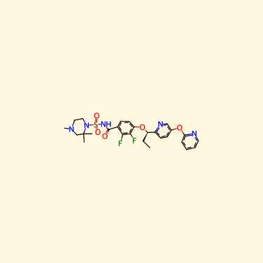 CC[C@@H](Oc1ccc(C(=O)NS(=O)(=O)N2CCN(C)CC2(C)C)c(F)c1F)c1ccc(Oc2ccccn2)cn1